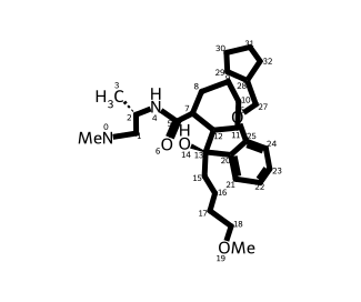 CNC[C@H](C)NC(=O)C1CCCCC1[C@@](O)(CCCCOC)c1ccccc1OCC1CCCC1